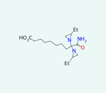 CCC1CN1C(CCCCCCCC(=O)O)(C(N)=O)N1CC1CC